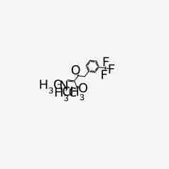 CC(=O)C(=CN(C)C)C(=O)Cc1cccc(C(F)(F)F)c1